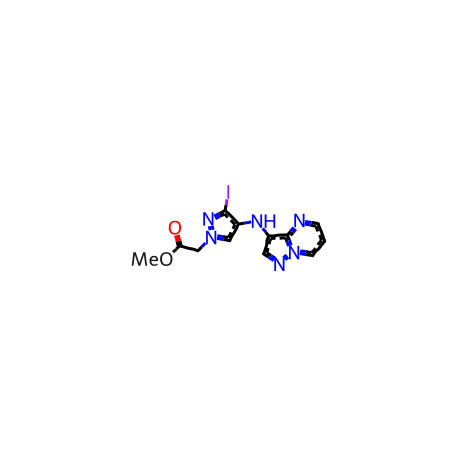 COC(=O)Cn1cc(Nc2cnn3cccnc23)c(I)n1